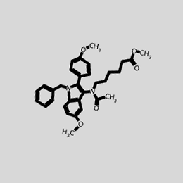 COC(=O)CCCCCN(C(C)=O)c1c(-c2ccc(OC)cc2)n(Cc2ccccc2)c2ccc(OC)cc12